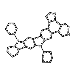 c1ccc(-n2c3ccccc3c3cc4c(cc32)c2cc3c(cc2n4-c2ccccc2)c2cnccc2c2nccn32)cc1